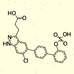 O=C(O)CCc1n[nH]c2cc(Cl)c(-c3ccc(-c4ccccc4OS(=O)(=O)O)cc3)cc12